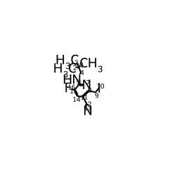 CC(C)(C)CNc1nc(CI)c(C#N)cc1F